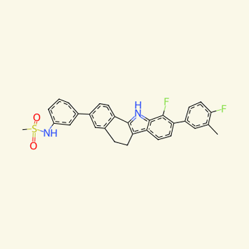 Cc1cc(-c2ccc3c4c([nH]c3c2F)-c2ccc(-c3cccc(NS(C)(=O)=O)c3)cc2CC4)ccc1F